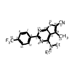 CCN(CC)c1nc(-c2ccc(C(F)(F)F)cc2)nc2sc(C#N)c(C)c12